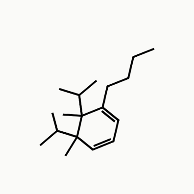 CCCCC1=CC=CC(C)(C(C)C)C1(C)C(C)C